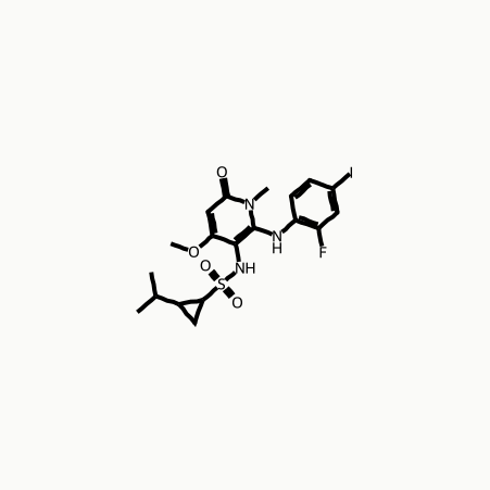 COc1cc(=O)n(C)c(Nc2ccc(I)cc2F)c1NS(=O)(=O)C1CC1C(C)C